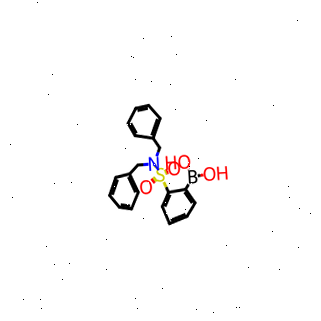 O=S(=O)(c1ccccc1B(O)O)N(Cc1ccccc1)Cc1ccccc1